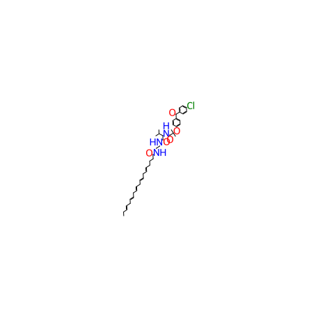 CCC=CCC=CCC=CCC=CCC=CCCCC(=O)NCCNC(=O)C(NC(=O)C(C)(C)Oc1ccc(C(=O)c2ccc(Cl)cc2)cc1)C(C)C